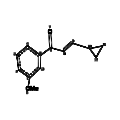 COc1cccc(C(=O)C=CC2CC2)c1